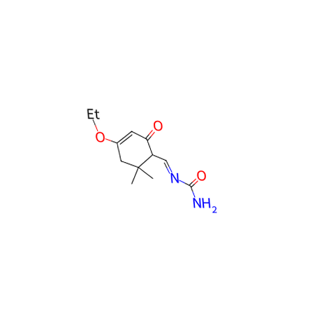 CCOC1=CC(=O)C(/C=N/C(N)=O)C(C)(C)C1